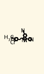 COc1ccc(CCc2nnc(-c3ccncc3)c3ccc(C#N)cc23)cc1Cl